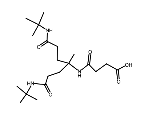 CC(C)(C)NC(=O)CCC(C)(CCC(=O)NC(C)(C)C)NC(=O)CCC(=O)O